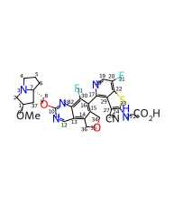 CO[C@H]1CN2CCC[C@@]2(COc2ncc3c4c(c(-c5ncc(F)c6sc(NC(=O)O)c(C#N)c56)c(F)c3n2)COC4)C1